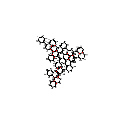 CC(C)(C)c1cc2c3c(c1)N(C1=C(c4cccc(-c5ccccc5)c4)CCC=C1c1cccc(-c4ccccc4)c1)c1cc(-c4ccc(-c5ccccc5)c5ccccc45)ccc1B3c1ccc(-c3ccc(-c4ccccc4)c4ccccc34)cc1N2C1=C(c2cccc(C3CC=CCC3)c2)CCC=C1C1=CC(C2=CCCCC2)=CCC1